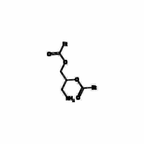 CCC(=O)OCC(CN)OC(=O)CC